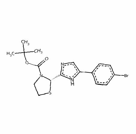 CC(C)(C)OC(=O)N1CCS[C@H]1c1ncc(-c2ccc(Br)cc2)[nH]1